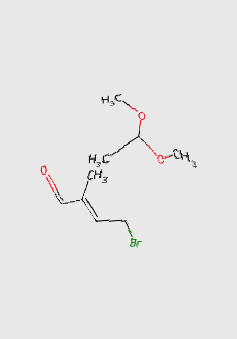 C/C(C=O)=C\CBr.COC(C)OC